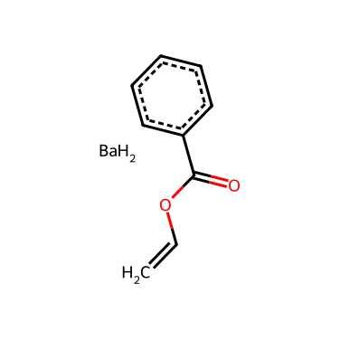 C=COC(=O)c1ccccc1.[BaH2]